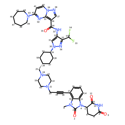 Cn1c(=O)n(C2CCC(=O)NC2=O)c2cccc(C#CCN3CCN(C[C@H]4CC[C@H](n5cc(NC(=O)c6cnn7ccc(N8CCCCCC8)nc67)c(C(F)F)n5)CC4)CC3)c21